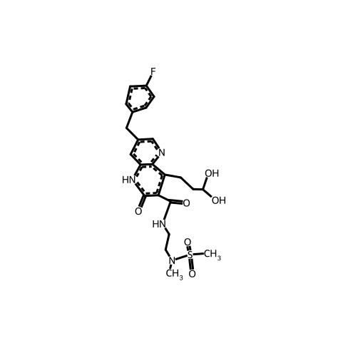 CN(CCNC(=O)c1c(CCC(O)O)c2ncc(Cc3ccc(F)cc3)cc2[nH]c1=O)S(C)(=O)=O